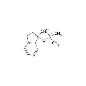 C[Si](C)(C)OC1(C#N)CCc2ccncc21